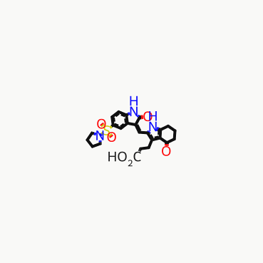 O=C(O)CCc1c(C=C2C(=O)Nc3ccc(S(=O)(=O)N4CCCC4)cc32)[nH]c2c1C(=O)CCC2